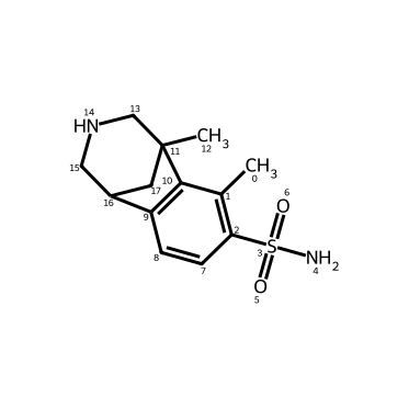 Cc1c(S(N)(=O)=O)ccc2c1C1(C)CNCC2C1